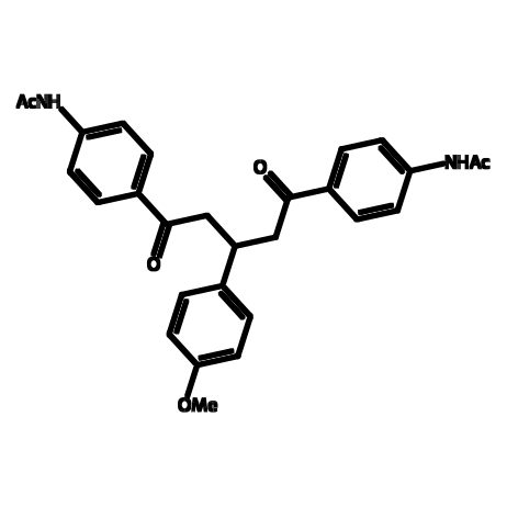 COc1ccc(C(CC(=O)c2ccc(NC(C)=O)cc2)CC(=O)c2ccc(NC(C)=O)cc2)cc1